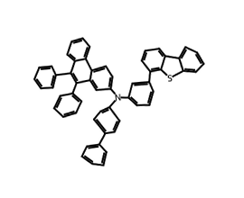 c1ccc(-c2ccc(N(c3cccc(-c4cccc5c4sc4ccccc45)c3)c3ccc4c(c3)c(-c3ccccc3)c(-c3ccccc3)c3ccccc34)cc2)cc1